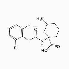 CC1CCCC(NC(=O)Cc2c(F)cccc2Cl)(C(=O)O)C1